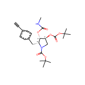 C#Cc1ccc(C[C@@H]2[C@H](OC(=O)NC)[C@@H](OC(=O)OC(C)(C)C)CN2C(=O)OC(C)(C)C)cc1